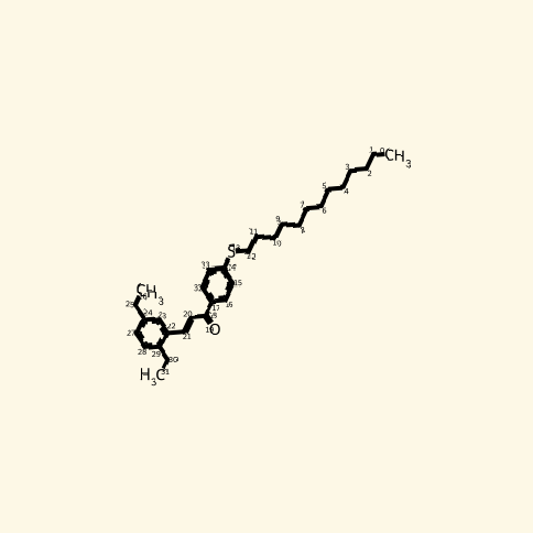 CCCCCCCCCCCCCSc1ccc(C(=O)C=Cc2cc(CC)ccc2CC)cc1